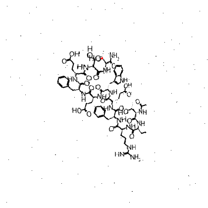 CC[C@H](NC(=O)[C@@H](NC(C)=O)[C@@H](C)O)C(=O)N[C@@H](CCCNC(=N)N)C(=O)N[C@@H](Cc1ccccc1)C(=O)N[C@@H](CCC(=O)O)C(=O)N[C@@H](Cc1c[nH]c2ccccc12)C(=O)N[C@@H](CCC(=O)O)C(=O)N[C@@H](Cc1ccccc1)C(=O)N[C@@H](CCC(=O)O)C(=O)N[C@H](C(=O)N[C@H](C(N)=O)[C@@H](C)O)[C@@H](C)O